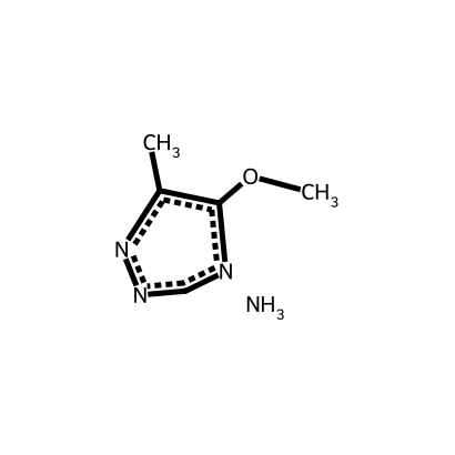 COc1ncnnc1C.N